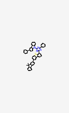 CC1(C)c2ccccc2-c2ccc(-c3ccc4sc5c(-c6nc(-c7ccccc7)nc(-n7c8ccccc8c8cc(-c9ccccc9)ccc87)n6)cccc5c4c3)cc21